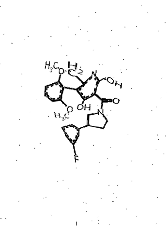 [CH2]c1nc(O)c(C(=O)N2CCC(c3cccc(F)c3)C2)c(O)c1-c1c(OC)cccc1OC